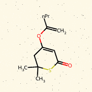 C=C(CCC)OC1=CC(=O)SC(C)(C)C1